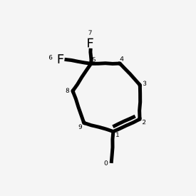 CC1=CCCC(F)(F)CC1